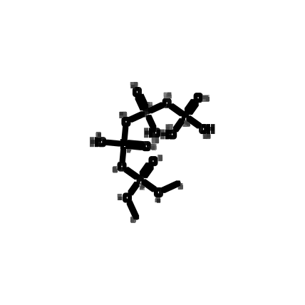 COP(=O)(OC)OP(=O)(O)OP(=O)(O)OP(=O)(O)O